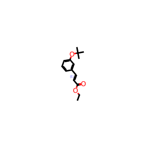 CCOC(=O)/C=C/c1cccc(OC(C)(C)C)c1